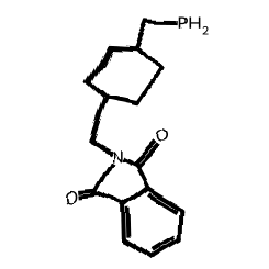 O=C1c2ccccc2C(=O)N1CC1CCC(CP)CC1